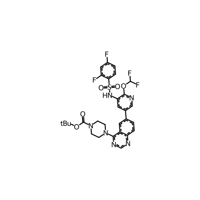 CC(C)(C)OC(=O)N1CCN(c2ncnc3ccc(-c4cnc(OC(F)F)c(NS(=O)(=O)c5ccc(F)cc5F)c4)cc23)CC1